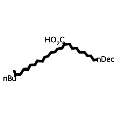 CCCCCCCCCCCCCCCCCCC(CCCCCCCCCCC=CCC(C)CCCC)C(=O)O